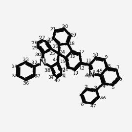 c1ccc(-c2cccc3ccc(-c4ccc5c(c4)-c4ccccc4C54c5ccccc5N(c5ccccc5)c5ccccc54)nc23)cc1